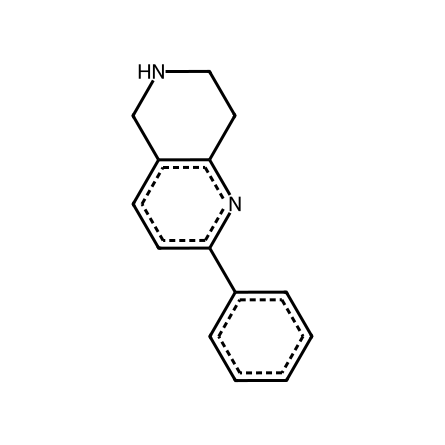 c1ccc(-c2ccc3c(n2)CCNC3)cc1